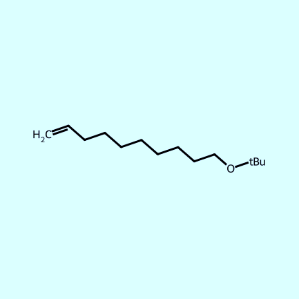 C=CCCCCCCCCOC(C)(C)C